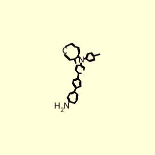 C/C=C(\C=C/C(C)c1ccc(C2=CC=C(N)CC=C2)cc1)N(c1ccc(C)cc1)C1/C=C\C=C\CC/C=C\C1C